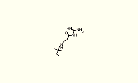 CCC(C)(C)CNCCC(=O)NC(=N)N